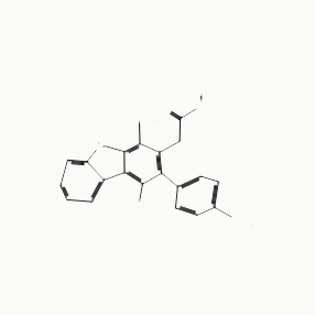 COC(=O)Cc1c(-c2ccc(C)cc2)c(C)c2c([nH]c3ccccc32)c1C